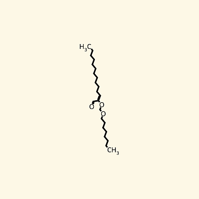 CCCCCCCCCCC/C=C(\C=O)OCOCCCCCCCC